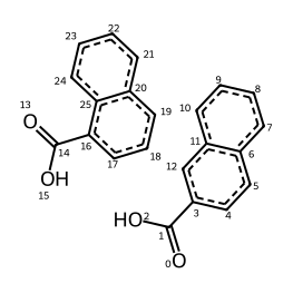 O=C(O)c1ccc2ccccc2c1.O=C(O)c1cccc2ccccc12